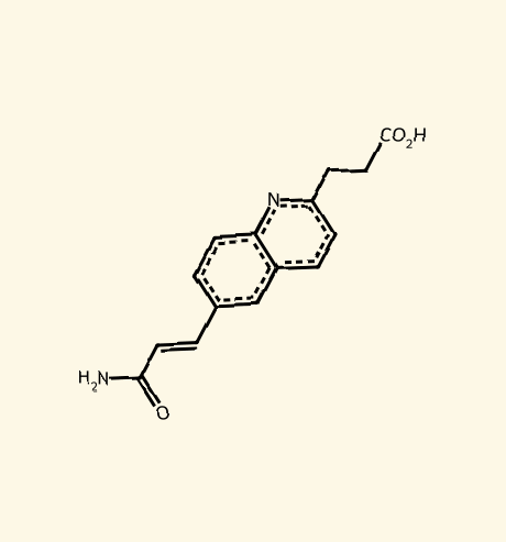 NC(=O)/C=C/c1ccc2nc(CCC(=O)O)ccc2c1